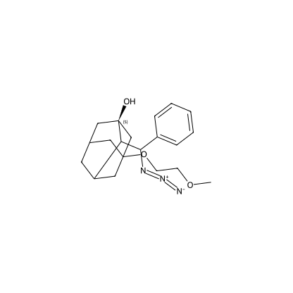 COCCOC12CC3CC(C1)C(C(N=[N+]=[N-])c1ccccc1)[C@](O)(C3)C2